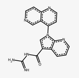 N=C(N)NC(=O)c1cn(-c2ccnc3ccncc23)c2ncccc12